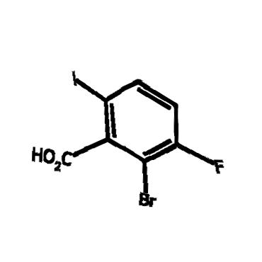 O=C(O)c1c(I)ccc(F)c1Br